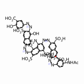 CC(=O)Nc1ccc(/N=N\c2c(S(=O)(=O)O)cc3cc(S(=O)(=O)O)c(/N=N\c4cc(S(=O)(=O)O)c5cc(S(=O)(=O)O)c(/N=N\c6ccc7c(O)c(/N=N\c8ccc(O)c(C(=O)O)c8)c(S(=O)(=O)O)cc7c6)c(O)c5c4N)cc3c2O)c(S(=O)(=O)O)c1